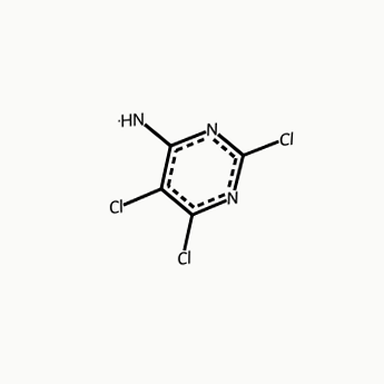 [NH]c1nc(Cl)nc(Cl)c1Cl